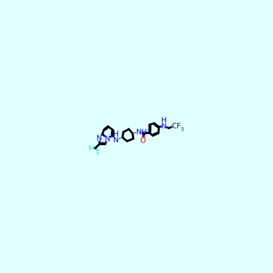 O=C(N[C@H]1CC[C@@H](Nc2cccc3nc(C(F)F)cn23)CC1)c1ccc(NCC(F)(F)F)cc1